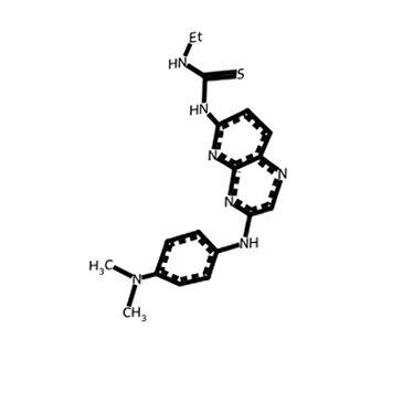 CCNC(=S)Nc1ccc2ncc(Nc3ccc(N(C)C)cc3)nc2n1